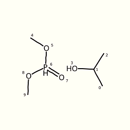 CC(C)O.CO[PH](=O)OC